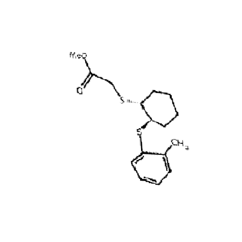 COC(=O)CS[C@@H]1CCCC[C@H]1Sc1ccccc1C